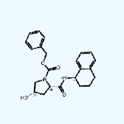 O=C(N[C@@H]1CCCc2ccccc21)[C@@H]1C[C@H](O)CN1C(=O)OCc1ccccc1